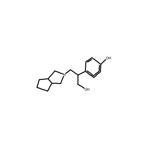 OCC(CN1CC2CCCC2C1)C1=C=C=C(O)C=C1